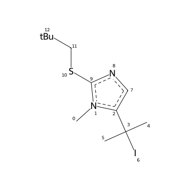 Cn1c(C(C)(C)I)cnc1SCC(C)(C)C